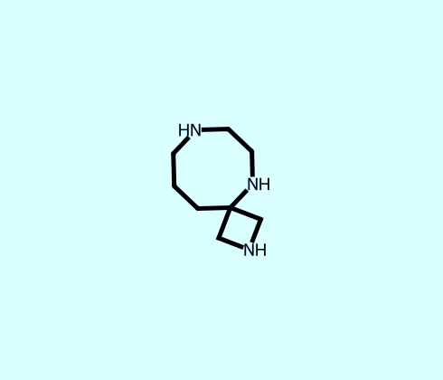 C1CNCCNC2(C1)CNC2